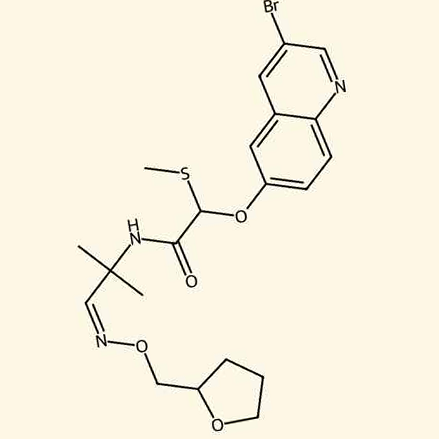 CSC(Oc1ccc2ncc(Br)cc2c1)C(=O)NC(C)(C)/C=N\OCC1CCCO1